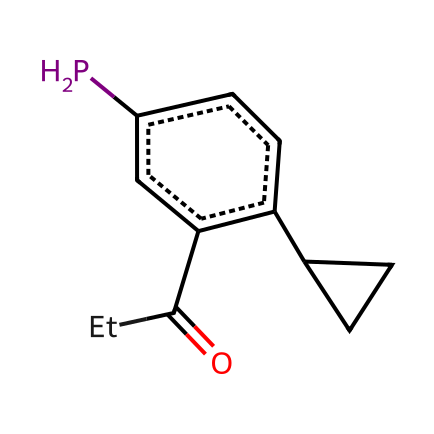 CCC(=O)c1cc(P)ccc1C1CC1